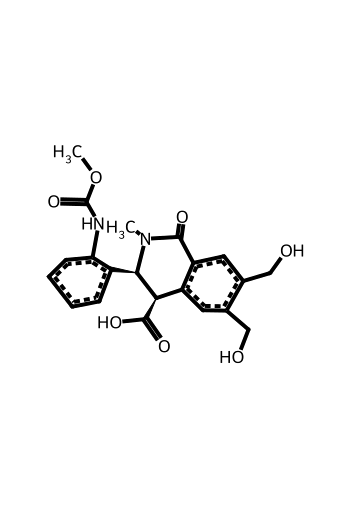 COC(=O)Nc1ccccc1[C@@H]1[C@H](C(=O)O)c2cc(CO)c(CO)cc2C(=O)N1C